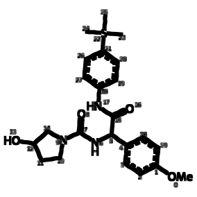 COc1ccc(C(NC(=O)N2CCC(O)C2)C(=O)Nc2ccc(S(C)(C)C)cc2)cc1